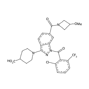 COC1CN(C(=O)c2ccc3c(N4CCC(C(=O)O)CC4)nn(C(=O)c4c(Cl)cccc4C(F)(F)F)c3c2)C1